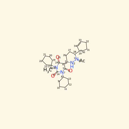 CC(=O)N1N/C(=C2\C(=O)N(C3CCCCC3)C(=O)N(C3(C)CCCCC3)C2=O)CCC1C1=CCCC=C1